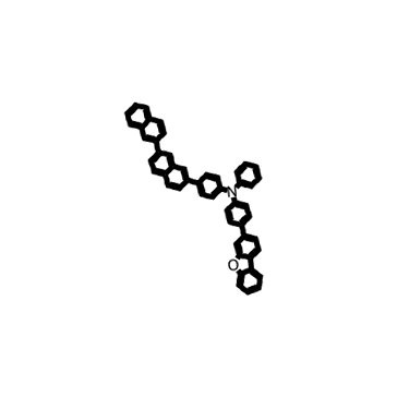 c1ccc(N(c2ccc(-c3ccc4ccc(-c5ccc6ccccc6c5)cc4c3)cc2)c2ccc(-c3ccc4c(c3)oc3ccccc34)cc2)cc1